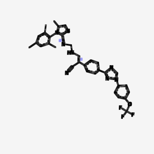 Cc1cc(C)c(-n2c(C)cs/c2=N\CN/C=C(\C#N)c2ccc(-c3ncn(-c4ccc(OC(F)(F)F)cc4)n3)cc2)c(C)c1